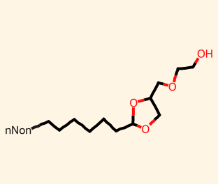 CCCCCCCCCCCCCCCC1OCC(COCCO)O1